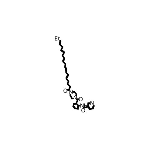 CCC=CCC=CCC=CCC=CCC=CCCCC(=O)N1CCN(C(=O)c2ccccc2NC(=O)c2cccnc2)CC1